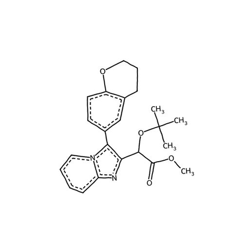 COC(=O)C(OC(C)(C)C)c1nc2ccccn2c1-c1ccc2c(c1)CCCO2